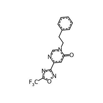 O=c1cc(-c2noc(C(F)(F)F)n2)ncn1CCc1ccccc1